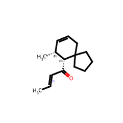 C/C=C/C(=O)[C@@H]1[C@H](C)C=CCC12CCCC2